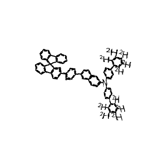 [2H]c1c([2H])c([2H])c(-c2ccc(N(c3ccc(-c4c([2H])c([2H])c([2H])c([2H])c4[2H])cc3)c3ccc4cc(-c5ccc(-c6ccc7c(c6)C6(c8ccccc8-c8ccccc86)c6ccccc6-7)cc5)ccc4c3)cc2)c([2H])c1[2H]